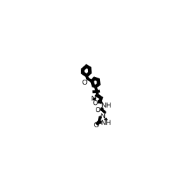 CC(C)(c1cccc(C(=O)c2ccccc2)c1)c1cc(NC(=O)CN2CNC(=O)C2)on1